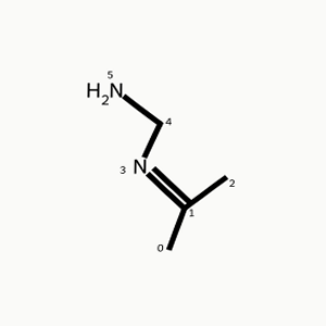 CC(C)=NCN